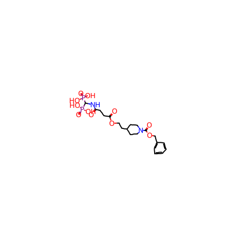 O=C(CCC(=O)OCCC1CCN(C(=O)OCc2ccccc2)CC1)NC(P(=O)(O)O)P(=O)(O)O